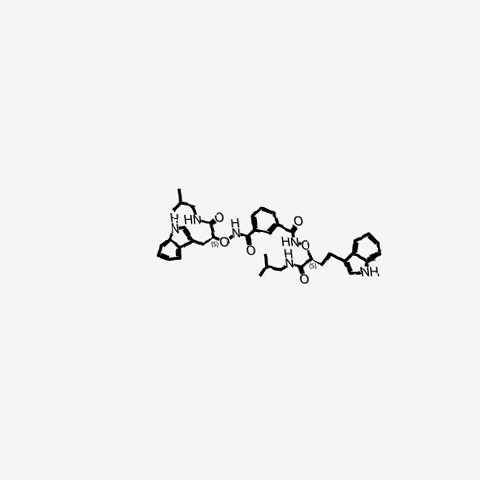 CC(C)CNC(=O)[C@H](CCc1c[nH]c2ccccc12)ONC(=O)c1cccc(C(=O)NO[C@@H](Cc2c[nH]c3ccccc23)C(=O)NCC(C)C)c1